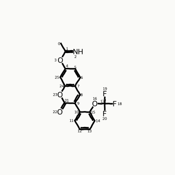 CC(=N)Oc1ccc2cc(-c3ccccc3OC(F)(F)F)c(=O)oc2c1